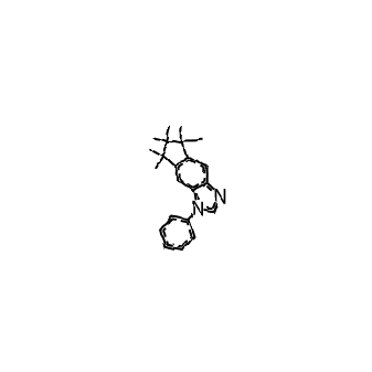 CC1(C)c2cc3ncn(-c4ccccc4)c3cc2C(C)(C)C1(C)C